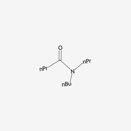 [CH2]CCC(=O)N(CCC)CCCC